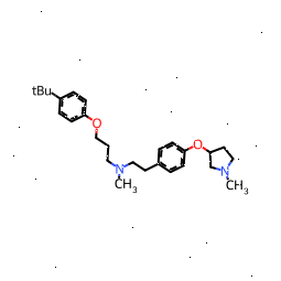 CN(CCCOc1ccc(C(C)(C)C)cc1)CCc1ccc(OC2CCN(C)C2)cc1